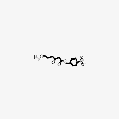 CCCCC(=O)CC(=O)OCc1ccc([N+](=O)[O-])cc1